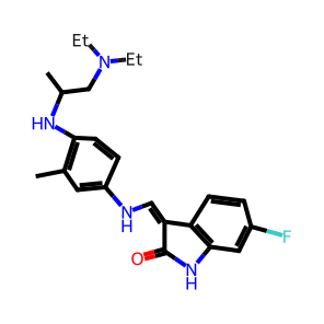 CCN(CC)CC(C)Nc1ccc(NC=C2C(=O)Nc3cc(F)ccc32)cc1C